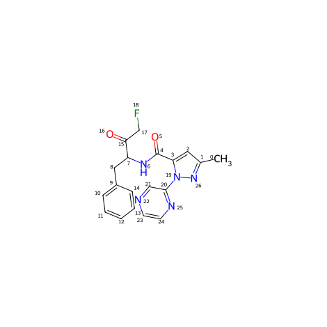 Cc1cc(C(=O)NC(Cc2ccccc2)C(=O)CF)n(-c2cnccn2)n1